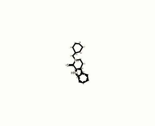 S=C1c2[nH]c3ccccc3c2CCN1CC1CCCCC1